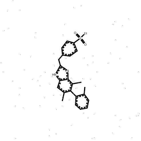 CCS(=O)(=O)c1ccc(Cc2nc3c(C)c(-c4ccccc4C)c(C)cc3[nH]2)cc1